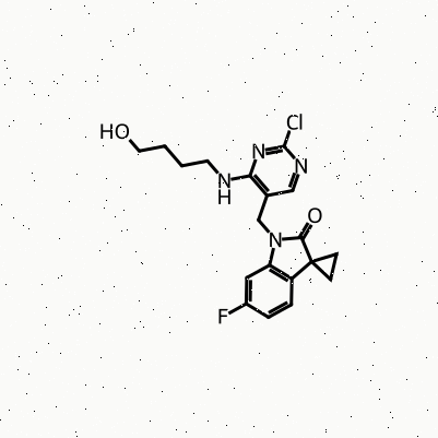 O=C1N(Cc2cnc(Cl)nc2NCCCCO)c2cc(F)ccc2C12CC2